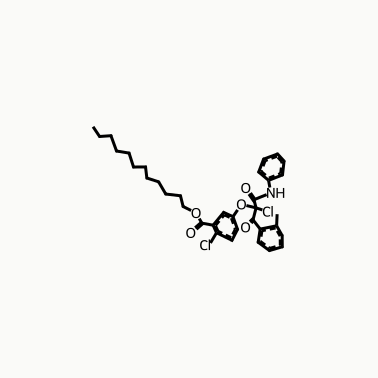 CCCCCCCCCCCCOC(=O)c1cc(OC(Cl)(C(=O)Nc2ccccc2)C(=O)c2ccccc2C)ccc1Cl